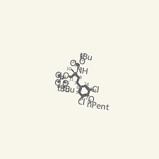 CCCCCOc1c(Cl)cc(CC[C@](C)(COP(=O)(OC(C)(C)C)OC(C)(C)C)NC(=O)OC(C)(C)C)cc1Cl